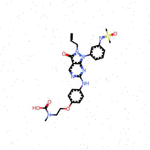 C=CCn1c(=O)c2cnc(Nc3ccc(OCCN(C)C(=O)O)cc3)nc2n1-c1cccc(N=S(C)(C)=O)c1